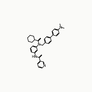 C=C(Nc1cccc(N(Cc2ccc(-c3ccc(N(C)C)cc3)cc2)C(=C)C2CCCCC2)c1)c1cccnc1